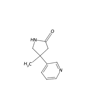 CC1(c2cccnc2)CNC(=O)C1